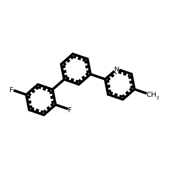 Cc1ccc(-c2cccc(-c3cc(F)ccc3F)c2)nc1